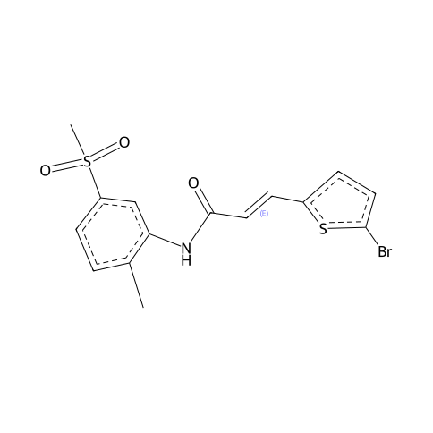 Cc1ccc(S(C)(=O)=O)cc1NC(=O)/C=C/c1ccc(Br)s1